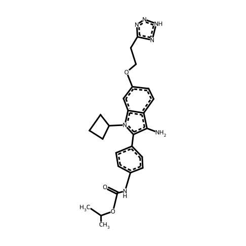 CC(C)OC(=O)Nc1ccc(-c2c(N)c3ccc(OCCc4nn[nH]n4)cc3n2C2CCC2)cc1